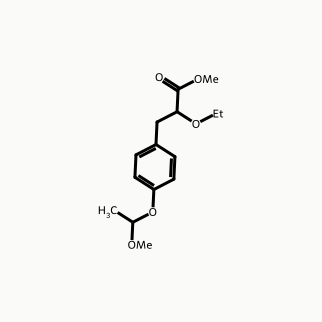 CCOC(Cc1ccc(OC(C)OC)cc1)C(=O)OC